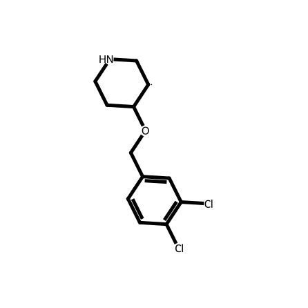 Clc1ccc(COC2[CH]CNCC2)cc1Cl